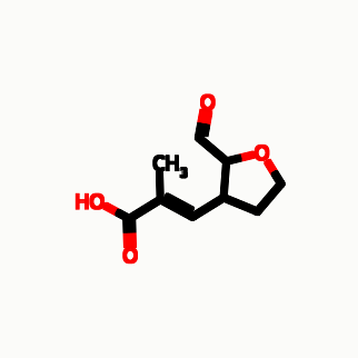 CC(=CC1CCOC1C=O)C(=O)O